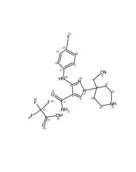 N#CCC1(n2cc(C(N)=O)c(Nc3ccc(F)cc3)n2)CCNCC1.O=C(O)C(F)(F)F